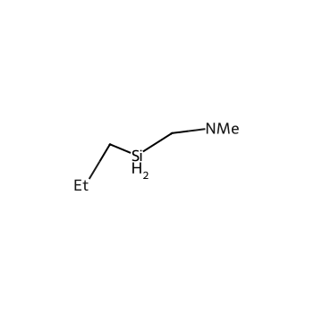 CCC[SiH2]CNC